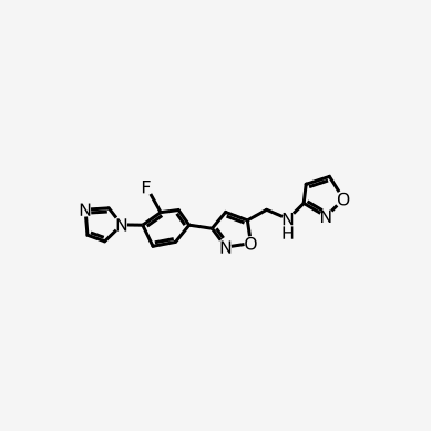 Fc1cc(-c2cc(CNc3ccon3)on2)ccc1-n1ccnc1